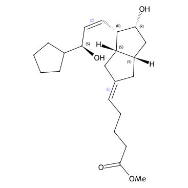 COC(=O)CCC/C=C1\C[C@H]2C[C@@H](O)[C@@H](/C=C\[C@@H](O)C3CCCC3)[C@H]2C1